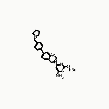 CCCCOc1nc(N)cc(N(CC(C)=O)Cc2ccc(-c3ccc(CN4CCCC4)cc3)cc2)n1